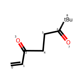 C=CC(=O)CCC(=O)C(C)(C)C